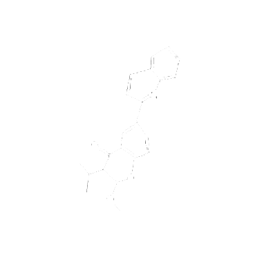 COC1Oc2ccc(-c3ccc4ccccc4n3)cc2C(=O)C1C(C)C